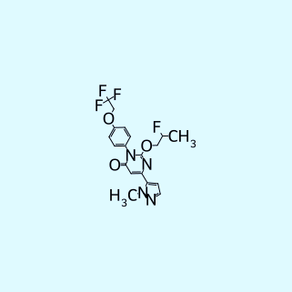 CC(F)COc1nc(-c2ccnn2C)cc(=O)n1-c1ccc(OCC(F)(F)F)cc1